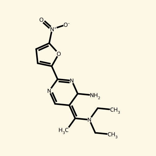 CCN(CC)C(C)=C1C=NC(c2ccc([N+](=O)[O-])o2)=NC1N